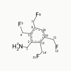 NCc1c(CF)c(CF)[c]c(CF)c1CF